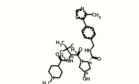 Cc1ncsc1-c1ccc(CNC(=O)[C@@H]2C[C@@H](O)CN2C(=O)[C@@H](NC(=O)C2CCN(C)CC2)C(C)(C)C)cc1